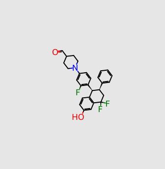 O=CC1CCN(c2ccc([C@@H]3c4ccc(O)cc4C(F)(F)C[C@@H]3c3ccccc3)c(F)c2)CC1